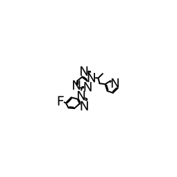 CC(Cc1cccnc1)n1cnc2cnc(-n3cnc4ccc(F)cc43)nc21